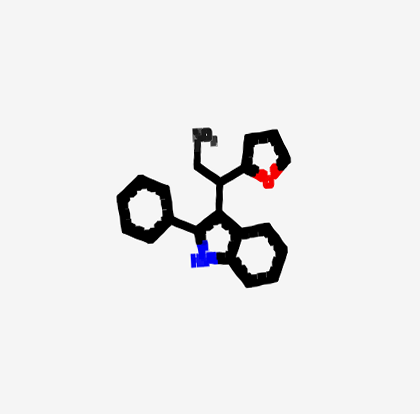 O=[N+]([O-])CC(c1ccco1)c1c(-c2ccccc2)[nH]c2ccccc12